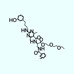 CCOCCOCCOC(=O)C(CNC(=O)c1cccs1)NC(=O)c1c(C)nc(NCCCc2cccc(O)c2)nc1C